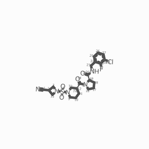 N#CC1CN(S(=O)(=O)N2CCC[C@H](C(=O)N3CCC[C@@H]3C(=O)NCc3cccc(Cl)c3F)C2)C1